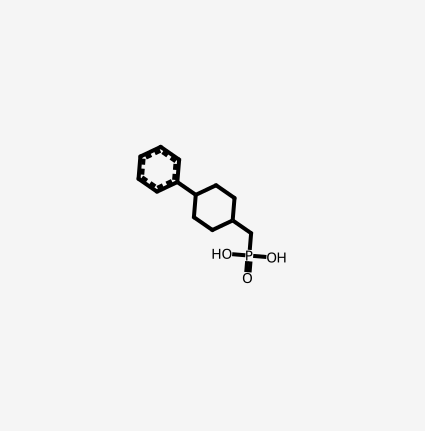 O=P(O)(O)CC1CCC(c2ccccc2)CC1